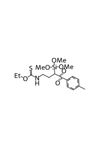 CCOC(=S)NCCC([Si](OC)(OC)OC)S(=O)(=O)c1ccc(C)cc1